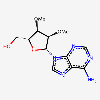 CO[C@@H]1[C@H](OC)[C@@H](CO)O[C@H]1n1cnc2c(N)ncnc21